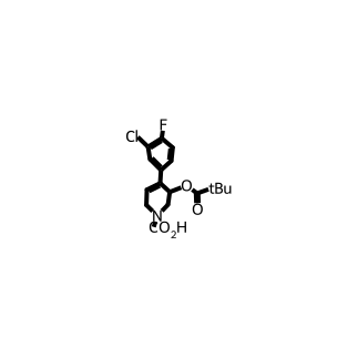 CC(C)(C)C(=O)OC1CN(C(=O)O)CC=C1c1ccc(F)c(Cl)c1